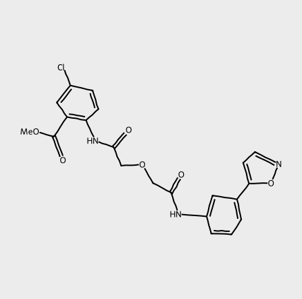 COC(=O)c1cc(Cl)ccc1NC(=O)COCC(=O)Nc1cccc(-c2ccno2)c1